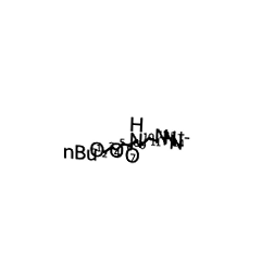 CCCCOCCOCC(=O)NCCCN=[N+]=[N-]